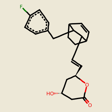 O=C1C[C@H](O)C[C@@H](/C=C/C2C3C=CC(CC3)C2Cc2ccc(F)cc2)O1